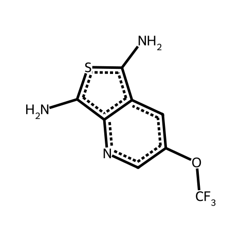 Nc1sc(N)c2ncc(OC(F)(F)F)cc12